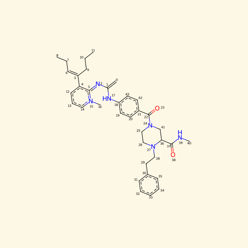 C=C(/N=c1/c(/C(=C/CC)CCC)cccn1C)Nc1ccc(C(=O)N2CCN(CCc3ccccc3)C(C(=O)NC)C2)cc1